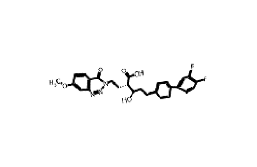 COc1ccc2c(=O)n(CC[C@H](C(=O)O)[C@H](O)CCc3ccc(-c4ccc(F)c(F)c4)cc3)nnc2c1